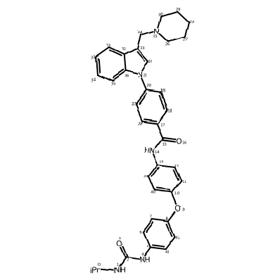 CC(C)NC(=O)Nc1ccc(Oc2ccc(NC(=O)c3ccc(-n4cc(CN5CCCCC5)c5ccccc54)cc3)cc2)cc1